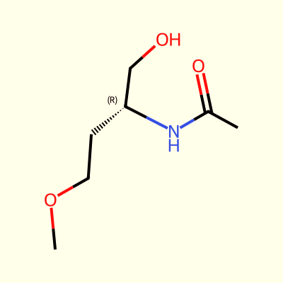 COCC[C@H](CO)NC(C)=O